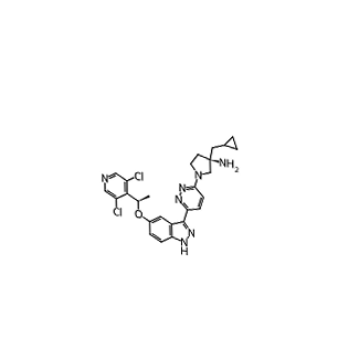 C[C@@H](Oc1ccc2[nH]nc(-c3ccc(N4CC[C@](N)(CC5CC5)C4)nn3)c2c1)c1c(Cl)cncc1Cl